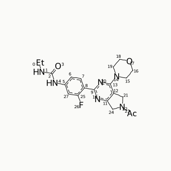 CCNC(=O)Nc1ccc(-c2nc3c(c(N4CCOCC4)n2)CN(C(C)=O)C3)c(F)c1